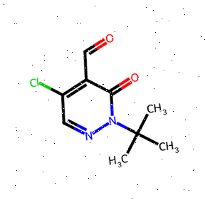 CC(C)(C)n1ncc(Cl)c(C=O)c1=O